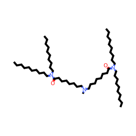 CCCCCCCCCCN(CCCCCCCCCC)C(=O)CCCCCCCN(C)CCCCCCCC(=O)N(CCCCCCCCCC)CCCCCCCCCC